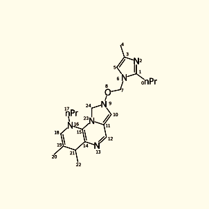 CCCc1nc(C)cn1CON1C=C2C=NC3=C(N(CCC)C=C(C)C3C)N2C1